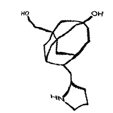 OCC12CC3CC(O)(CC(C1)C3C1CCCN1)C2